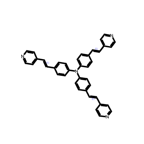 C(=C\c1ccc(N(c2ccc(/C=C/c3ccncc3)cc2)c2ccc(/C=C/c3ccncc3)cc2)cc1)/c1ccncc1